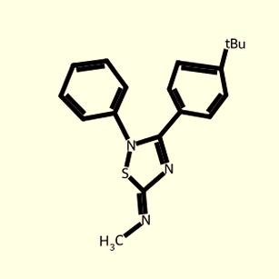 CN=c1nc(-c2ccc(C(C)(C)C)cc2)n(-c2ccccc2)s1